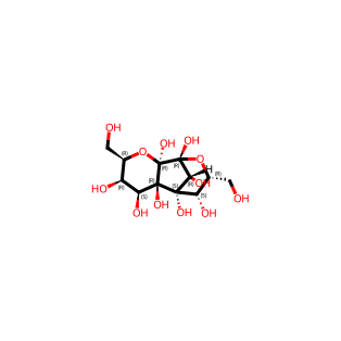 OC[C@H]1O[C@]2(O)[C@@](O)([C@@H](O)[C@H]1O)[C@@]1(O)[C@@H](O)[C@@]2(O)O[C@H](CO)[C@@H]1O